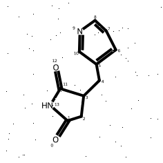 O=C1CC(Cc2cccnc2)C(=O)N1